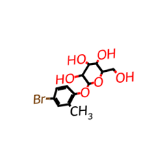 Cc1cc(Br)ccc1OC1OC(CO)C(O)C(O)C1O